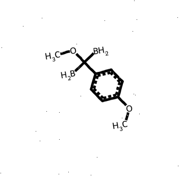 BC(B)(OC)c1ccc(OC)cc1